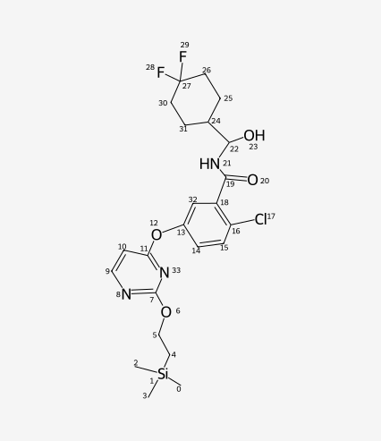 C[Si](C)(C)CCOc1nccc(Oc2ccc(Cl)c(C(=O)NC(O)C3CCC(F)(F)CC3)c2)n1